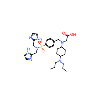 CCCN(CCC)C1CCC(N(CC(=O)O)Cc2ccc(S(=O)(=O)N(Cc3ncc[nH]3)Cc3ncc[nH]3)cc2)CC1